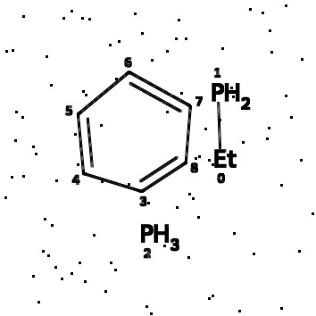 CCP.P.c1ccccc1